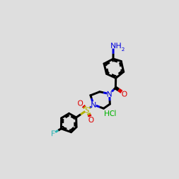 Cl.Nc1ccc(C(=O)N2CCN(S(=O)(=O)c3ccc(F)cc3)CC2)cc1